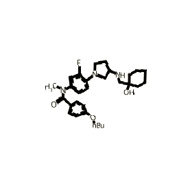 CCCCOc1ccc(C(=O)N(C)c2ccc(N3CCC(NCC4(O)CCCCC4)C3)c(F)c2)cc1